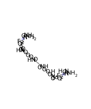 C/C(=C\c1cc(F)c(Oc2ccc([S+]([O-])NCCOCCOCCOCCNC(=O)CCCCCCC(=O)NCCOCCOCCOCCNS(=O)(=O)c3ccc(Oc4c(F)cc(/C=C(\C)C(=O)N=C(N)N)cc4F)cc3)cc2)c(F)c1)C(=O)N=C(N)N